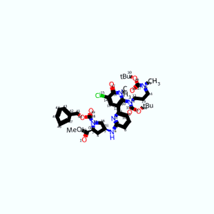 COC(=O)[C@@H]1C[C@H](Nc2cccc(-c3cc(Cl)c(=O)n(C)c3N(CCCN(C)C(=O)OC(C)(C)C)C(=O)OC(C)(C)C)n2)CN1C(=O)OCc1ccccc1